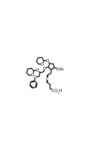 CC(=O)OC1CC(OC2CCCCO2)C(OCC(COc2ccccc2)OC2CCCCO2)C1CC=C=CCCC(=O)O